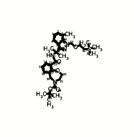 Cc1cccc2c(C(C)(C)NC(=O)c3cccc4c3OCCN(C(=O)OC(C)(C)C)C4)nn(COCCS(C)(C)C)c12